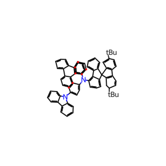 CC(C)(C)c1ccc2c(c1)C1(C3=C2C=CC(C(C)(C)C)C3)c2ccccc2-c2c(N(c3ccc(-n4c5ccccc5c5ccccc54)cc3)c3ccccc3-c3ccccc3-c3ccccc3-c3ccccc3)cccc21